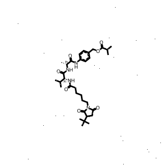 CC(C)C(=O)OCc1ccc(NC(=O)[C@@H](C)NC(=O)[C@H](NC(=O)CCCCCN2C(=O)CC(C(C)(C)C)C2=O)C(C)C)cc1